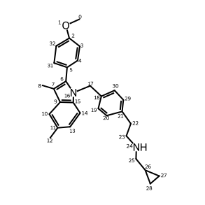 COc1ccc(-c2c(C)c3cc(C)ccc3n2Cc2ccc(CCNCC3CC3)cc2)cc1